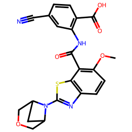 COc1ccc2nc(N3C4COCC3C4)sc2c1C(=O)Nc1cc(C#N)ccc1C(=O)O